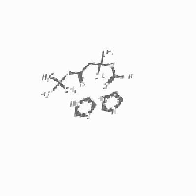 CC(C)(C)OC(=O)CC(C)(C)OC(=O)O.c1c[nH]cn1.c1c[nH]cn1